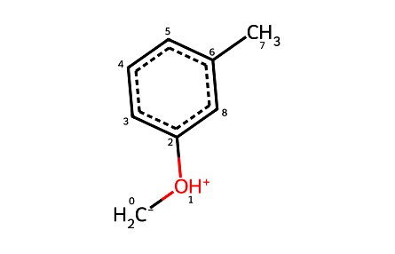 [CH2-][OH+]c1cccc(C)c1